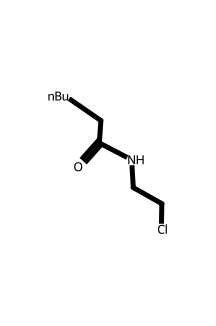 CCCCCC(=O)NCCCl